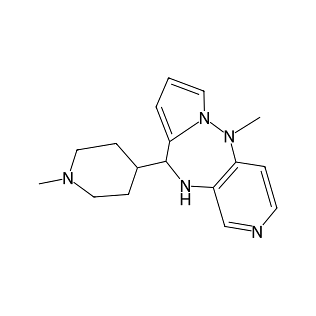 CN1CCC(C2Nc3cnccc3N(C)n3cccc32)CC1